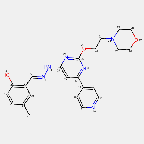 Cc1ccc(O)c(C=NNc2cc(-c3ccncc3)nc(OCCN3CCOCC3)n2)c1